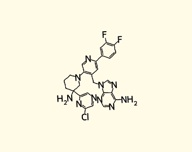 Nc1ncnc2c1ncn2Cc1cc(-c2ccc(F)c(F)c2)ncc1N1CCCC(N)(c2cncc(Cl)n2)C1